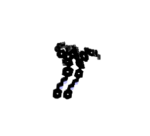 COc1ccc(-c2sc(-c3ccc(/C=C/C=C/c4ccccc4)cc3)cc2C2=C(c3cc(-c4ccc(/C=C/C=C/c5ccccc5)cc4)sc3-c3ccc(OC)cc3)C(F)(F)C(F)(F)C2(F)F)cc1